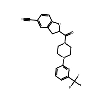 N#Cc1ccc2c(c1)CC(C(=O)N1CCN(c3cccc(C(F)(F)F)n3)CC1)O2